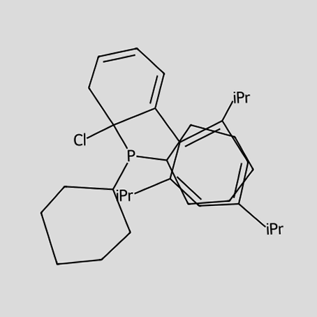 CC(C)c1cc(C(C)C)c(C2=CC=CCC2(Cl)P(C2CCCCC2)C2CCCCC2)c(C(C)C)c1